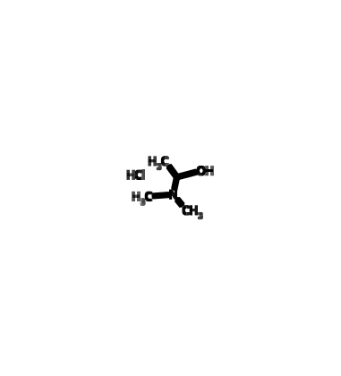 CC(O)N(C)C.Cl